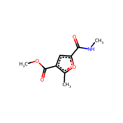 CNC(=O)c1cc(C(=O)OC)c(C)o1